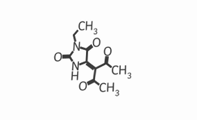 CCN1C(=O)NC(=C(C(C)=O)C(C)=O)C1=O